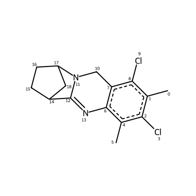 Cc1c(Cl)c(C)c2c(c1Cl)CN1C(=N2)C2CCC1C2